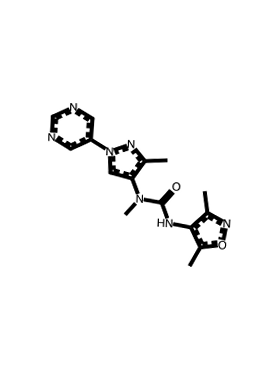 Cc1nn(-c2cncnc2)cc1N(C)C(=O)Nc1c(C)noc1C